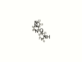 C[C@@H]1CC[C@@H](Oc2nccn3nccc23)CN1